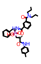 CCCN(CCC)C(=O)c1cccc(C(=O)N[C@@H](Cc2ccccc2)P(=O)(O)C[C@@H](C)C(=O)Nc2ccc(C)cc2)c1